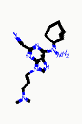 CN(C)CCCn1cnc2c(N(N)C3CCCCC3)nc(C#N)nc21